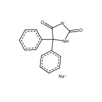 O=C1[N-]C(=O)C(c2ccccc2)(c2ccccc2)N1.[Na+]